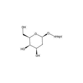 CCCCCCCO[C@H]1C[C@@H](O)[C@@H](O)[C@@H](CO)O1